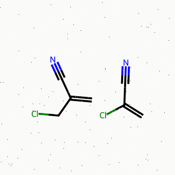 C=C(C#N)CCl.C=C(Cl)C#N